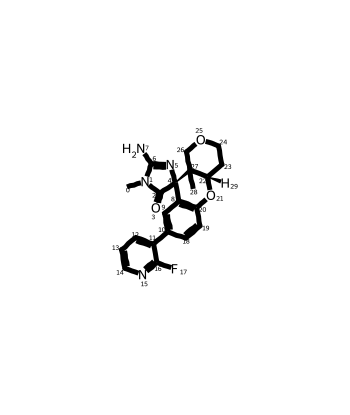 CN1C(=O)[C@]2(N=C1N)c1cc(-c3cccnc3F)ccc1O[C@H]1CCOCC12C